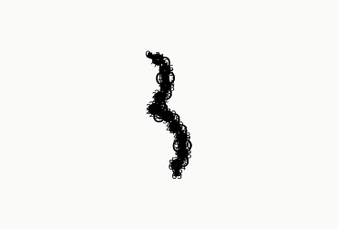 C#Cc1ccc(Oc2ccc(S(=O)(=O)c3ccc(Oc4cccc(Oc5ccccc5S(=O)(=O)c5ccc(Oc6cccc(Oc7ccc(S(=O)(=O)c8ccc(Oc9cccc(C#C)c9)cc8)cc7)c6)cc5)c4)cc3)cc2)cc1